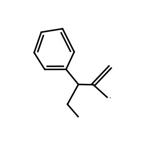 [CH2]C(=C)C(CC)c1ccccc1